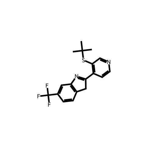 CC(C)(C)Sc1cnccc1C1=Nc2cc(C(F)(F)F)ccc2C1